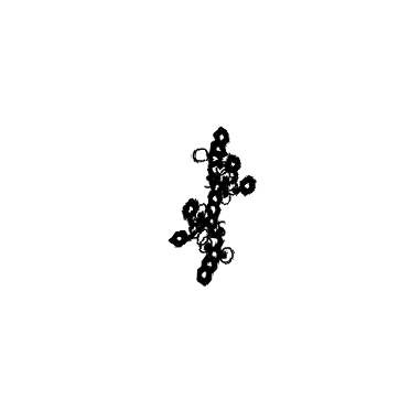 O=C1C(=Cc2cc3c(s2)C2=CC4C=C5C(=CC4C=C2C3(C(=O)OCc2ccccc2)C(=O)OCc2ccccc2)c2sc(C=C3C(=O)c4cc6ccccc6cc4C3=O)cc2C5(C(=O)OCc2ccccc2)C(=O)OCc2ccccc2)C(=O)c2cc3ccccc3cc21